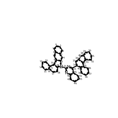 c1ccc2cc3c(cc2c1)c1c2ccccc2ccc1n3-c1nc(-c2cc3sc4ccccc4c3c3ccccc23)c2ccccc2n1